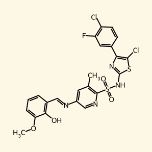 COc1cccc(/C=N/c2cnc(S(=O)(=O)Nc3nc(-c4ccc(Cl)c(F)c4)c(Cl)s3)c(C)c2)c1O